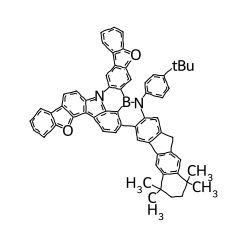 CC(C)(C)c1ccc(N2B3c4cc5oc6ccccc6c5cc4-n4c5ccc6c7ccccc7oc6c5c5ccc(c3c54)-c3cc4c(cc32)Cc2cc3c(cc2-4)C(C)(C)CCC3(C)C)cc1